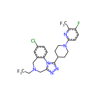 Fc1ccc(N2CCC(c3nnc4n3-c3ccc(Cl)cc3CN(CC(F)(F)F)C4)CC2)nc1C(F)(F)F